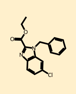 CCOC(=O)c1nc2ccc(Cl)cc2n1Cc1ccccc1